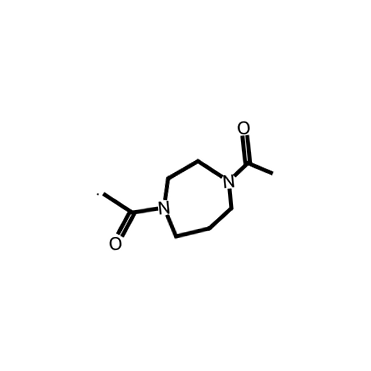 [CH2]C(=O)N1CCCN(C(C)=O)CC1